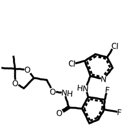 CC1(C)OCC(CONC(=O)c2ccc(F)c(F)c2Nc2ncc(Cl)cc2Cl)O1